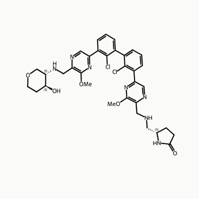 COc1nc(-c2cccc(-c3cccc(-c4cnc(CN[C@H]5COCC[C@@H]5O)c(OC)n4)c3Cl)c2Cl)cnc1CNC[C@@H]1CCC(=O)N1